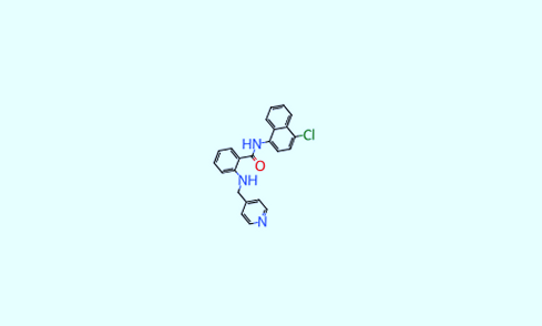 O=C(Nc1ccc(Cl)c2ccccc12)c1ccccc1NCc1ccncc1